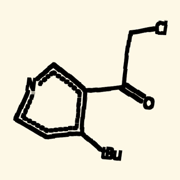 CC(C)(C)c1ccncc1C(=O)CCl